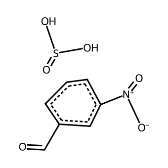 O=Cc1cccc([N+](=O)[O-])c1.O=S(O)O